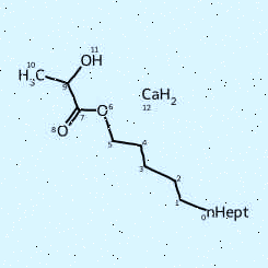 CCCCCCCCCCCCOC(=O)C(C)O.[CaH2]